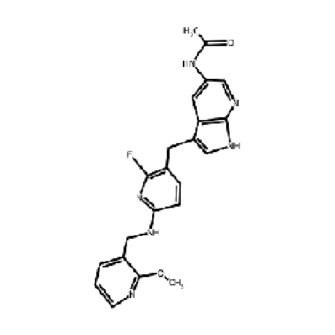 COc1ncccc1CNc1ccc(Cc2c[nH]c3ncc(NC(C)=O)cc23)c(F)n1